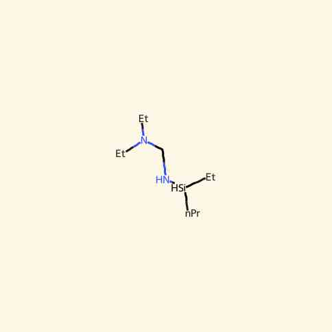 CCC[SiH](CC)NCN(CC)CC